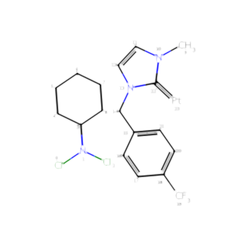 ClN(Cl)C1CCCCC1.Cn1ccn(Cc2ccc(C(F)(F)F)cc2)[c]1=[Pt]